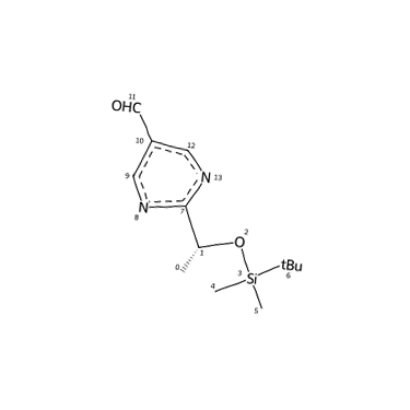 C[C@@H](O[Si](C)(C)C(C)(C)C)c1ncc(C=O)cn1